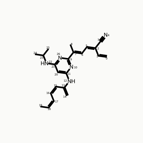 C=C/C(C#N)=C\C=C(/C)c1nc(NC(=C)/C=C\C=C/C)cc(NC(C)C)n1